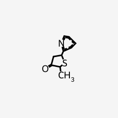 CC1SC(c2ccccn2)CC1=O